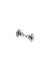 CC1(C)c2ccccc2N(c2ccc(/C=C/c3ccc(N4c5ccccc5C(C)(C)c5ccccc54)cc3)cc2)c2ccccc21